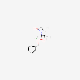 CC1(C)S[C@@H]2CC(=O)N2[C@@]1(CCl)C(=O)OCc1ccccc1